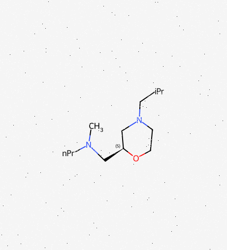 CCCN(C)C[C@H]1CN(CC(C)C)CCO1